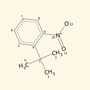 CC(C)(C)c1cc[c]cc1[N+](=O)[O-]